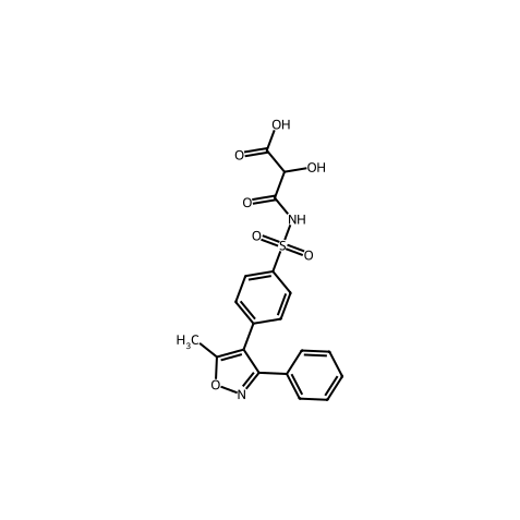 Cc1onc(-c2ccccc2)c1-c1ccc(S(=O)(=O)NC(=O)C(O)C(=O)O)cc1